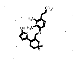 Cc1c(CCC(=O)O)ccc(OCC2=C(c3ccc(C#N)s3)CCC(F)(F)C2)c1C